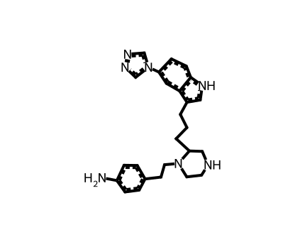 Nc1ccc(CCN2CCNCC2CCCc2c[nH]c3ccc(-n4cnnc4)cc23)cc1